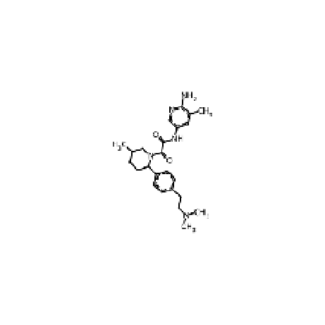 Cc1cc(NC(=O)C(=O)N2CC(C)CCC2c2ccc(CCN(C)C)cc2)cnc1N